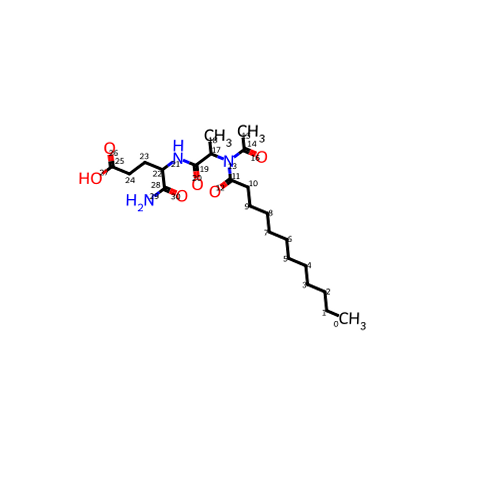 CCCCCCCCCCCC(=O)N(C(C)=O)C(C)C(=O)NC(CCC(=O)O)C(N)=O